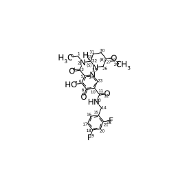 CCN1C(=O)c2c(O)c(=O)c(C(=O)NCc3ccc(F)cc3F)cn2N2C[C@H](OC)CC[C@@H]12